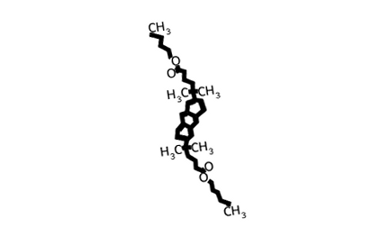 CCCCCCOC(=O)CCCC(C)(C)c1ccc2cc3cc(C(C)(C)CCCC(=O)OCCCCCC)ccc3cc2c1